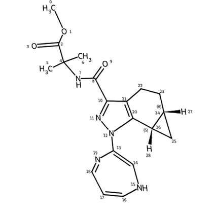 COC(=O)C(C)(C)NC(=O)c1nn(C2=CNC=CC=N2)c2c1CC[C@@H]1C[C@H]21